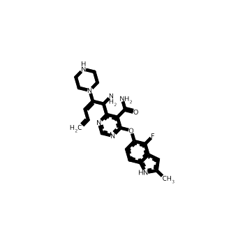 C=C/C=C(\C(N)c1ncnc(Oc2ccc3[nH]c(C)cc3c2F)c1C(N)=O)N1CCNCC1